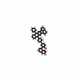 c1ccc(-c2c3ccccc3c(-c3ccc(-c4ccc5c(c4)-c4cccc6cccc(c46)O5)cc3)c3cc4c(cc23)-c2cccc3cccc-4c23)cc1